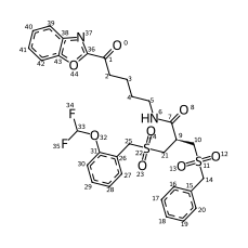 O=C(CCCCNC(=O)[C@@H](CS(=O)(=O)Cc1ccccc1)CS(=O)(=O)Cc1ccccc1OC(F)F)c1nc2ccccc2o1